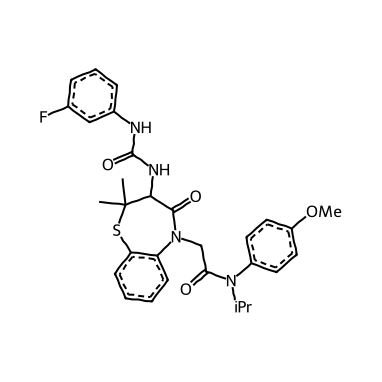 COc1ccc(N(C(=O)CN2C(=O)C(NC(=O)Nc3cccc(F)c3)C(C)(C)Sc3ccccc32)C(C)C)cc1